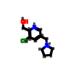 OCc1ncc(CN2CCCC2)cc1Cl